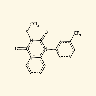 O=c1c2ccccc2n(-c2cccc(C(F)(F)F)c2)c(=O)n1SC(Cl)(Cl)Cl